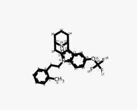 Cc1ccccc1CCn1c2c(c3cc(OC(F)(F)F)ccc31)C1CCCC(C2)N1